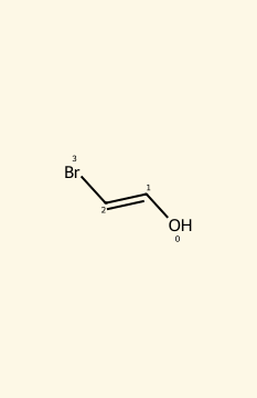 OC=CBr